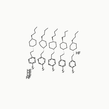 CCCC[C@H]1CC[C@H](CCc2ccc([S])cc2)CC1.CCCC[C@H]1CC[C@H](CCc2ccc([S])cc2)CC1.CCCC[C@H]1CC[C@H](CCc2ccc([S])cc2)CC1.CCCC[C@H]1CC[C@H](CCc2ccc([S])cc2)CC1.CCCC[C@H]1CC[C@H](CCc2ccc([S])cc2)CC1.F.F.F.F.F